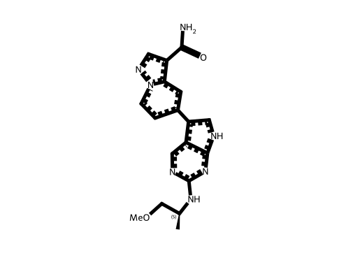 COC[C@H](C)Nc1ncc2c(-c3ccn4ncc(C(N)=O)c4c3)c[nH]c2n1